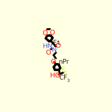 CCCc1cc(C(O)(C(F)F)C(F)(F)F)ccc1OCCCN1C(=O)NC(CC)(c2ccc3c(c2)OCCO3)C1=O